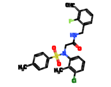 Cc1ccc(S(=O)(=O)N(CC(=O)NCc2cccc(C=O)c2F)c2cccc(Cl)c2C)cc1